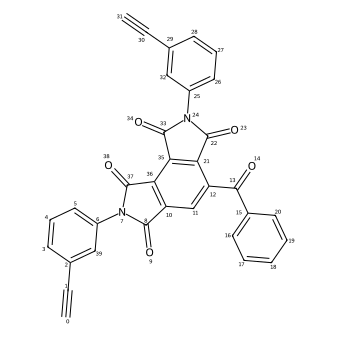 C#Cc1cccc(-n2c(=O)c3cc(C(=O)c4ccccc4)c4c(=O)n(-c5cccc(C#C)c5)c(=O)c4c3c2=O)c1